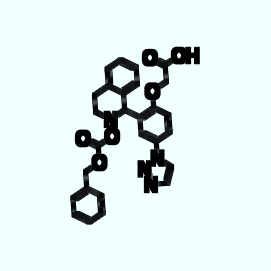 O=C(O)COc1ccc(-n2ccnn2)cc1C1c2ccccc2CCN1OC(=O)OCc1ccccc1